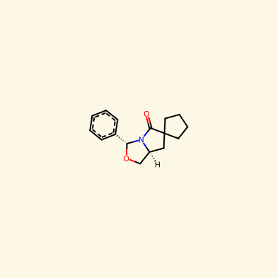 O=C1N2[C@H](CO[C@@H]2c2ccccc2)CC12CCCC2